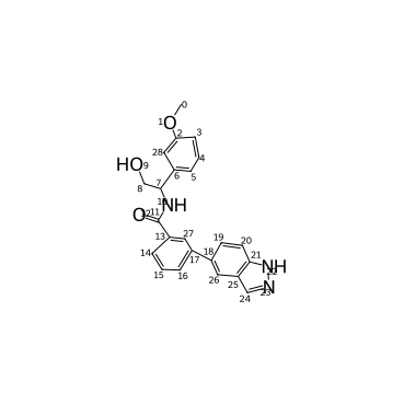 COc1cccc(C(CO)NC(=O)c2cccc(-c3ccc4[nH]ncc4c3)c2)c1